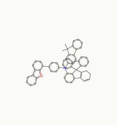 CC1(C)c2ccccc2-c2ccc(N(c3ccc(-c4cccc5c4oc4ccccc45)cc3)c3cccc4c3C3(C5=C4C=CCC5)c4ccccc4-c4ccccc43)cc21